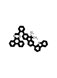 CC1(C)c2cc(-c3ccccc3-c3cnc4c5ccccc5c5ccccc5c4n3)ccc2-c2ccc(-c3cccc4c3sc3ccccc34)cc21